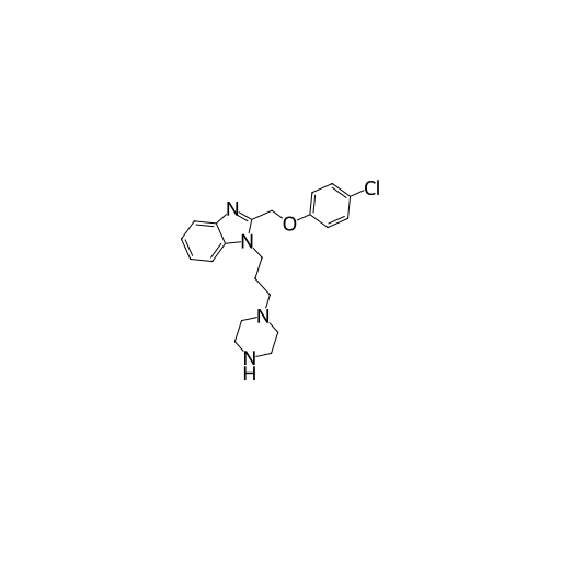 Clc1ccc(OCc2nc3ccccc3n2CCCN2CCNCC2)cc1